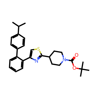 CC(C)c1ccc(-c2ccccc2-c2csc(C3CCN(C(=O)OC(C)(C)C)CC3)n2)cc1